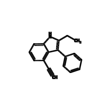 C#Cc1cccc2[nH]c(CC)c(-c3ccccc3)c12